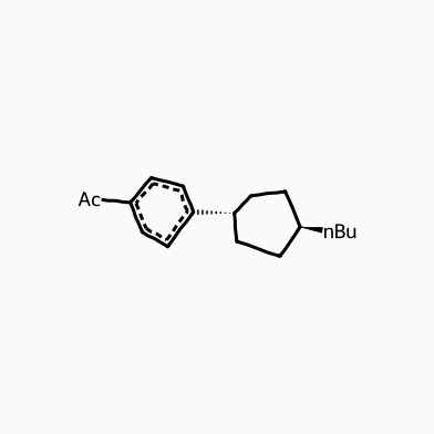 CCCC[C@H]1CC[C@H](c2ccc(C(C)=O)cc2)CC1